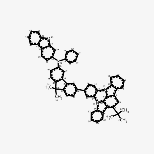 CC(C)(C)c1cc2c3ccccc3n3c4ccc(-c5ccc6c(c5)-c5cc(N(c7ccccc7)c7ccc8c(c7)oc7ccccc78)ccc5C6(C)C)cc4n4c5ccccc5c1c4c23